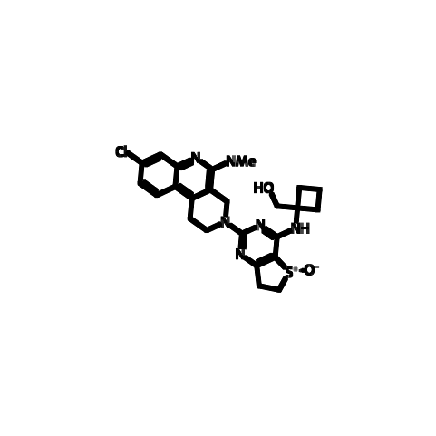 CNc1nc2cc(Cl)ccc2c2c1CN(c1nc3c(c(NC4(CO)CCC4)n1)[S@+]([O-])CC3)CC2